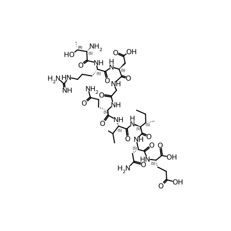 CC[C@H](C)[C@H](NC(=O)[C@@H](NC(=O)[C@H](CCC(N)=O)NC(=O)CNC(=O)[C@H](CC(=O)O)NC(=O)[C@H](CCCNC(=N)N)NC(=O)[C@@H](N)[C@@H](C)O)C(C)C)C(=O)N[C@@H](CC(N)=O)C(=O)N[C@@H](CCC(=O)O)C(=O)O